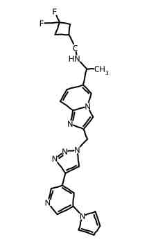 CC(NCC1CC(F)(F)C1)c1ccc2nc(Cn3cc(-c4cncc(-n5cccc5)c4)nn3)cn2c1